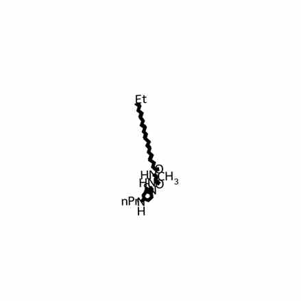 CCC=CCC=CCC=CCC=CCC=CCC=CCCC(=O)NC(C)C(=O)Nc1nc2c(s1)CC(NCCC)CC2